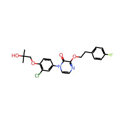 CC(C)(O)COc1ccc(-n2ccnc(OCCc3ccc(F)cc3)c2=O)cc1Cl